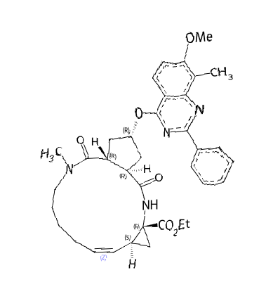 CCOC(=O)[C@@]12C[C@H]1/C=C\CCCCN(C)C(=O)[C@@H]1C[C@H](Oc3nc(-c4ccccc4)nc4c(C)c(OC)ccc34)C[C@H]1C(=O)N2